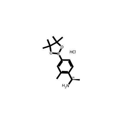 Cc1cc(B2OC(C)(C)C(C)(C)O2)ccc1[C@@H](C)N.Cl